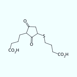 O=C(O)CCCSC1CC(=O)C(CCCC(=O)O)C1=O